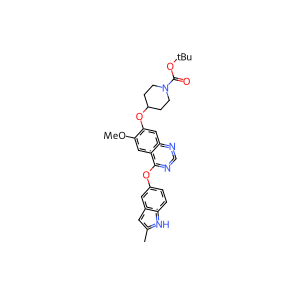 COc1cc2c(Oc3ccc4[nH]c(C)cc4c3)ncnc2cc1OC1CCN(C(=O)OC(C)(C)C)CC1